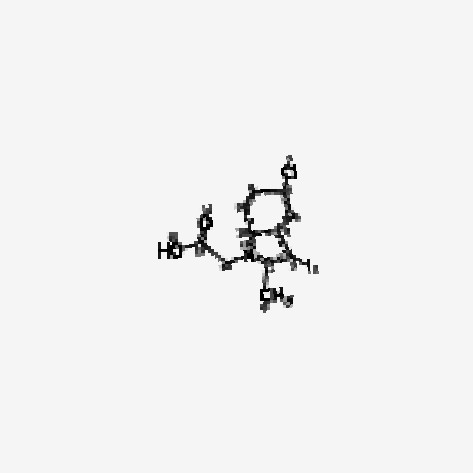 Cc1c(I)c2cc(Cl)ccc2n1CC(=O)O